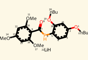 CCCCOc1ccc(PC(=O)c2c(OC)cc(OC)cc2OC)c(OCCCC)c1.[LiH]